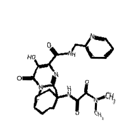 CN(C)C(=O)C(=O)NC12CCC(CC1)Cn1c2nc(C(=O)NCc2ccccn2)c(O)c1=O